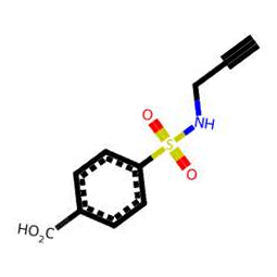 C#CCNS(=O)(=O)c1ccc(C(=O)O)cc1